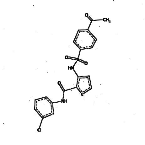 CC(=O)c1ccc(S(=O)(=O)Nc2ccsc2C(=O)Nc2cccc(Cl)c2)cc1